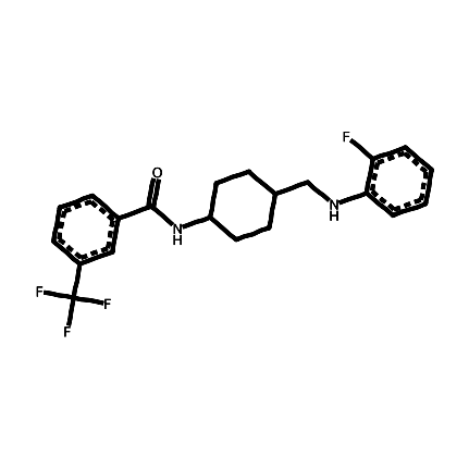 O=C(NC1CCC(CNc2ccccc2F)CC1)c1cccc(C(F)(F)F)c1